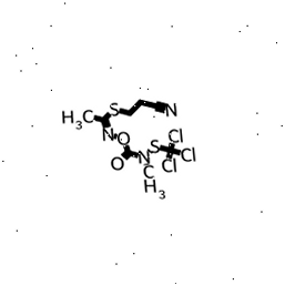 CC(=NOC(=O)N(C)SC(Cl)(Cl)Cl)SCCC#N